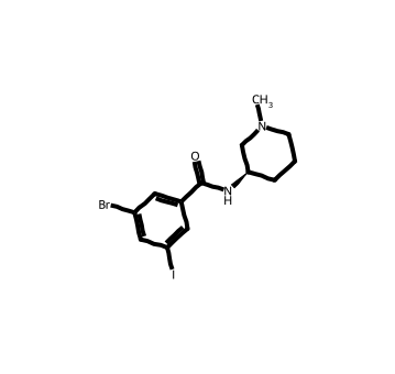 CN1CCC[C@@H](NC(=O)c2cc(Br)cc(I)c2)C1